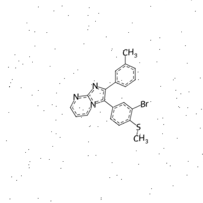 CSc1ccc(-c2c(-c3cccc(C)c3)nc3ncccn23)cc1Br